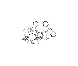 CC(=O)OC[C@@]1(O)C2[C@H](OC(=O)c3ccccc3)[C@]3(O)C[C@H](OC(=O)[C@H](O)C(NC(=O)c4ccccc4)c4ccccc4)C(C)=C([C@@H](OC(C)=O)C(=O)[C@]2(C)[C@@H](O)C[C@@H]1O)C3(C)C